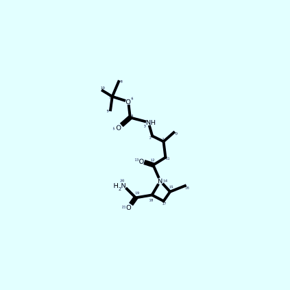 CC(CNC(=O)OC(C)(C)C)CC(=O)N1C(C)CC1C(N)=O